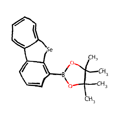 CC1(C)OB(c2cccc3c2[se]c2ccccc23)OC1(C)C